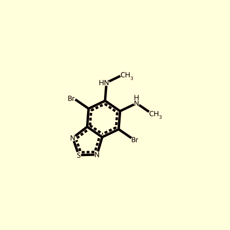 CNc1c(NC)c(Br)c2nsnc2c1Br